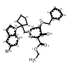 CCOC(=O)c1nn(CC2(n3ccc4cc(Br)cnc43)CCCC2)cc(OCc2ccccc2)c1=O